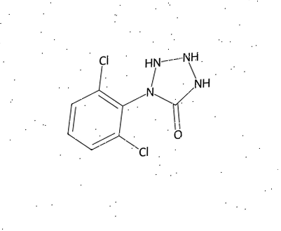 O=C1NNNN1c1c(Cl)cccc1Cl